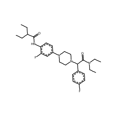 CCC(CC)C(=O)Nc1ccc(N2CCN(C(C(=O)N(CC)CC)c3ccc(F)cc3)CC2)cc1F